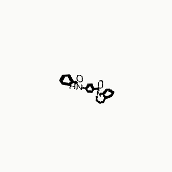 O=C(Nc1ccc(C(=O)N2CCCCc3ccccc32)cc1)c1ccccc1